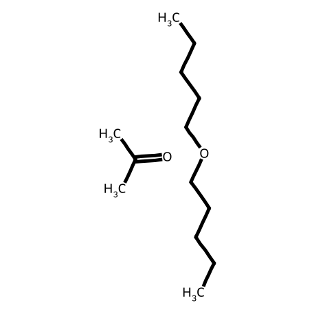 CC(C)=O.CCCCCOCCCCC